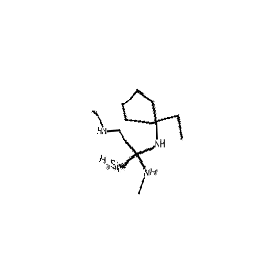 CCC1(NC([SiH3])(CNC)NC)CCCC1